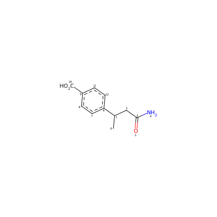 CC(CC(N)=O)c1ccc(C(=O)O)cc1